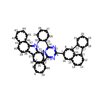 c1ccc(-c2nc(-c3cc4c5c(cccc5c3)-c3ccccc3-4)nc(-c3ccccc3-n3c4ccccc4c4ccc5ccccc5c43)n2)cc1